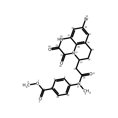 COC(=O)c1ccc(N(C)C(=O)CC2CCc3cc(Br)cc4[nH]c(=O)c(=O)n2c34)cc1